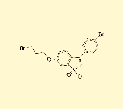 O=S1(=O)C=C(c2ccc(Br)cc2)c2ccc(OCCCBr)cc21